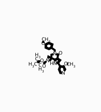 COc1ccc(CN2CC3(CN(C(=O)OC(C)(C)C)C3)c3[nH]c(-c4ccncc4OC)cc3C2=O)cc1